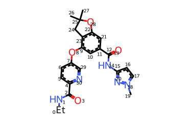 CCNC(=O)c1ccc(Oc2cc(C(=O)Nc3ccn(C)n3)cc3c2CC(C)(C)O3)cn1